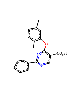 CCOC(=O)c1cnc(-c2ccccc2)nc1Oc1cc(C)ccc1C